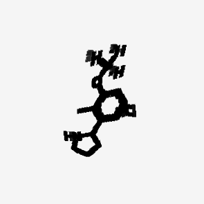 Cl.[2H]C([2H])([2H])Oc1cccc(C2CCCN2)c1C